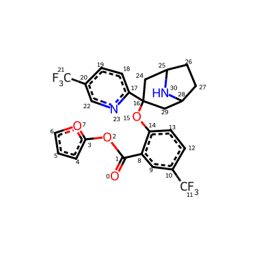 O=C(Oc1ccco1)c1cc(C(F)(F)F)ccc1OC1(c2ccc(C(F)(F)F)cn2)CC2CCC(C1)N2